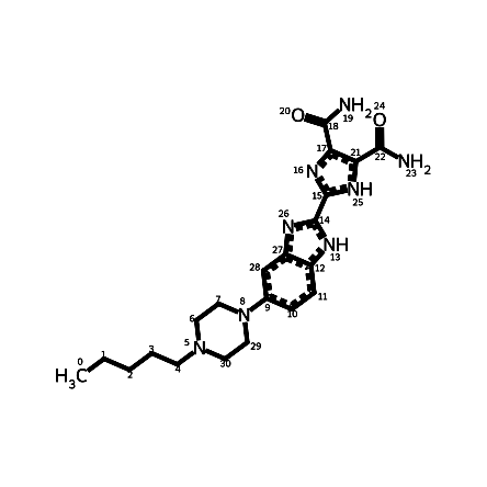 CCCCCN1CCN(c2ccc3[nH]c(-c4nc(C(N)=O)c(C(N)=O)[nH]4)nc3c2)CC1